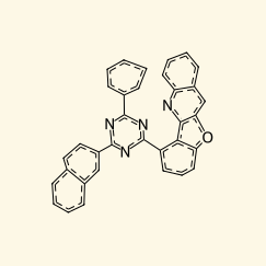 c1ccc(-c2nc(-c3ccc4ccccc4c3)nc(-c3cccc4oc5cc6ccccc6nc5c34)n2)cc1